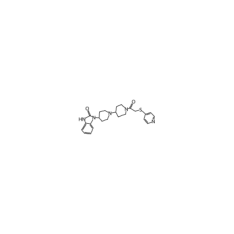 O=C(CSc1ccncc1)N1CCC(N2CCC(n3c(=O)[nH]c4ccccc43)CC2)CC1